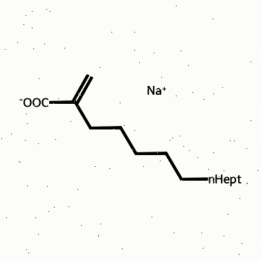 C=C(CCCCCCCCCCCC)C(=O)[O-].[Na+]